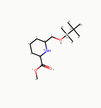 COC(=O)C1CCCC(CO[Si](C)(C)C(C)(C)C)N1